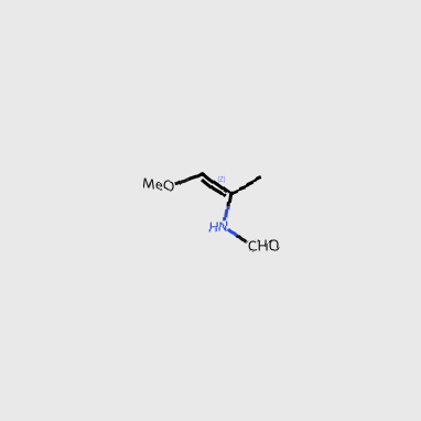 CO/C=C(/C)NC=O